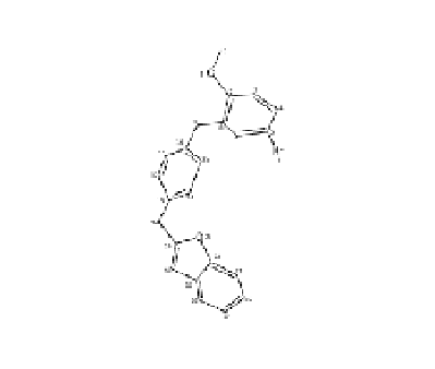 COc1ccc(Br)cc1Cc1ccc(Cc2cc3ccccc3o2)cc1